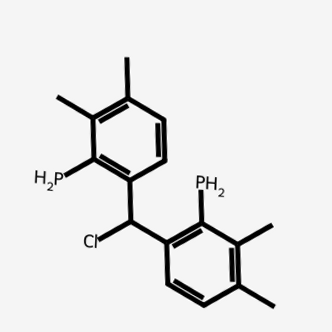 Cc1ccc(C(Cl)c2ccc(C)c(C)c2P)c(P)c1C